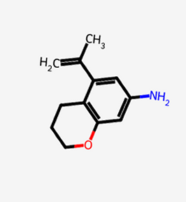 C=C(C)c1cc(N)cc2c1CCCO2